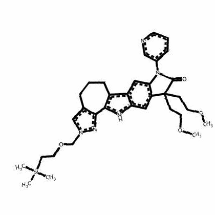 COCCC1(CCOC)C(=O)N(c2cccnc2)c2cc3c4c([nH]c3cc21)-c1nn(COCC[Si](C)(C)C)cc1CCC4